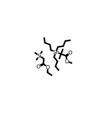 CCC[CH2][Sn]([CH2]CCC)([CH2]CCC)[C](C)(C)C(=O)OC.CCOC(=O)C[Si](C)(C)C